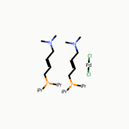 CC(C)P(CC=CCN(C)C)C(C)C.CC(C)P(CC=CCN(C)C)C(C)C.[Cl][Pd][Cl]